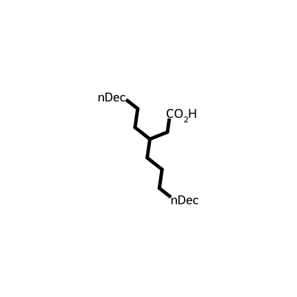 CCCCCCCCCCCCCC(CCCCCCCCCCCC)CC(=O)O